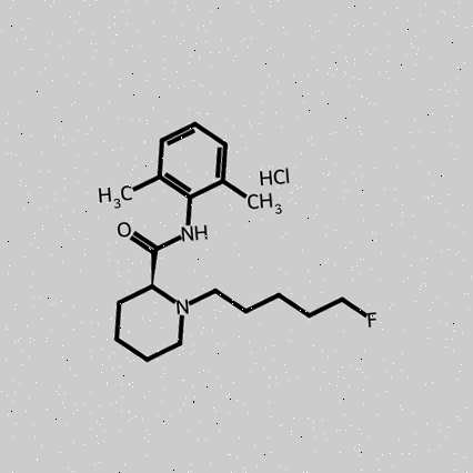 Cc1cccc(C)c1NC(=O)[C@@H]1CCCCN1CCCCCF.Cl